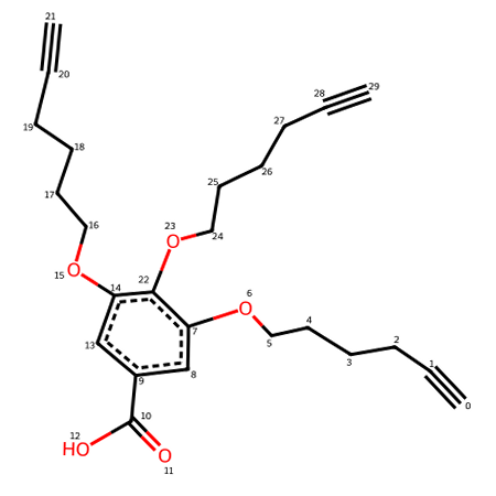 C#CCCCCOc1cc(C(=O)O)cc(OCCCCC#C)c1OCCCCC#C